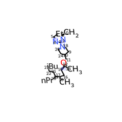 C=C/N=C(\N=C/CC)N1CCC(CO/C(C)=C/CC(C)C(CCC)CCC(C)CC)CC1